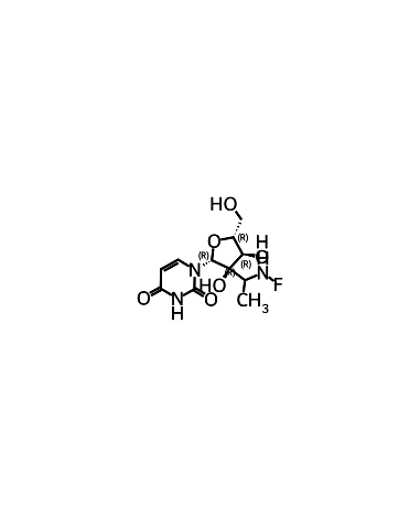 CC(NF)[C@@]1(O)[C@H](O)[C@@H](CO)O[C@H]1n1ccc(=O)[nH]c1=O